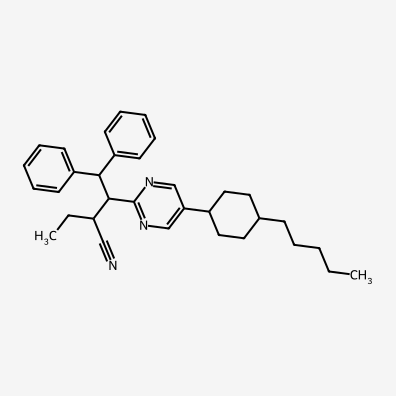 CCCCCC1CCC(c2cnc(C(C(C#N)CC)C(c3ccccc3)c3ccccc3)nc2)CC1